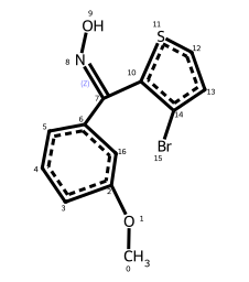 COc1cccc(/C(=N/O)c2sccc2Br)c1